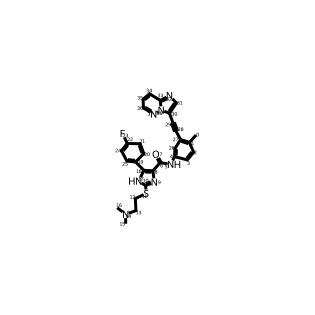 Cc1ccc(NC(=O)c2nc(SCCN(C)C)[nH]c2-c2ccc(F)cc2)cc1C#Cc1cnc2cccnn12